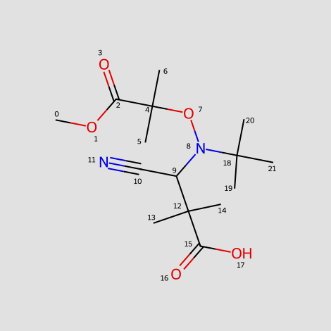 COC(=O)C(C)(C)ON(C(C#N)C(C)(C)C(=O)O)C(C)(C)C